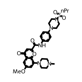 CCCS(=O)(=O)N1CCN(c2ccc(NC(=O)c3cc(=O)c4cc(OC)cc(N5CCN(C)CC5)c4o3)cc2)CC1